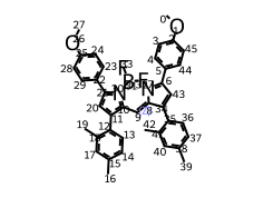 COc1ccc(C2=N/C(=C\c3c(-c4ccc(C)cc4C)cc(-c4ccc(OC)cc4)n3B(F)F)C(c3ccc(C)cc3C)=C2)cc1